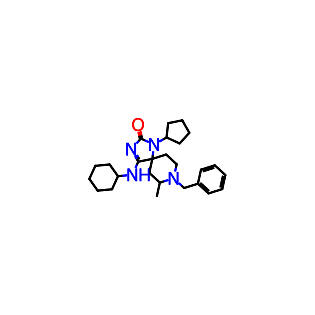 CC1CC2(CCN1Cc1ccccc1)C(NC1CCCCC1)=NC(=O)N2C1CCCC1